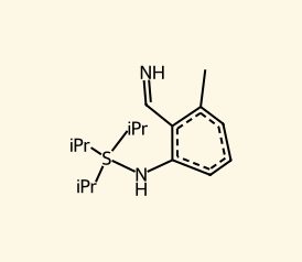 Cc1cccc(NS(C(C)C)(C(C)C)C(C)C)c1C=N